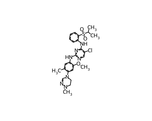 COc1cc(N2C=NN(C)CC2)c(C)cc1Nc1ncc(Cl)c(Nc2ccccc2S(=O)(=O)C(C)C)n1